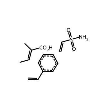 C=CS(N)(=O)=O.C=Cc1ccccc1.CC=C(C)C(=O)O